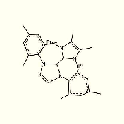 CC1=C(C)N(C(C)C)C(C2N(c3c(C)cc(C)cc3C)C=CN2c2c(C)cc(C)cc2C)N1C(C)C